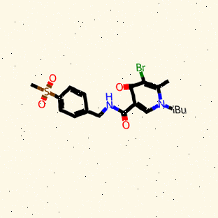 CCC(C)n1cc(C(=O)NCc2ccc(S(C)(=O)=O)cc2)c(=O)c(Br)c1C